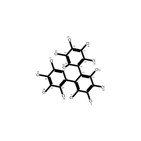 Clc1cc(-c2c(Cl)c(Cl)c(Cl)c(Cl)c2-c2c(Cl)c(Cl)c(Cl)c(Cl)c2Cl)c(Cl)c(Cl)c1Cl